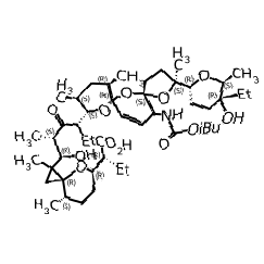 CCC(C(=O)[C@@H](C)[C@@H](O)C1(C)C[C@]12O[C@@H]([C@@H](CC)C(=O)O)CC[C@@H]2C)[C@H]1O[C@]2(C=CC(NC(=O)OCC(C)C)[C@]3(CC[C@@](C)([C@H]4CC[C@](O)(CC)[C@H](C)O4)O3)O2)[C@H](C)C[C@@H]1C